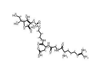 NC(N)=NCCC[C@H](N)C(=O)NCC(=O)N[C@@H](CC(=O)O)C(=O)NCCCOP(=O)(O)OC1=C(O)C([C@@H](O)CO)OC1=O